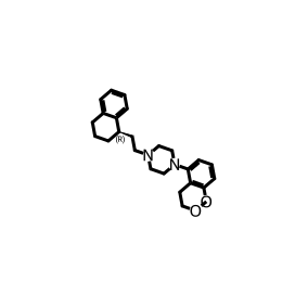 c1ccc2c(c1)CCC[C@@H]2CCN1CCN(c2cccc3c2CCOO3)CC1